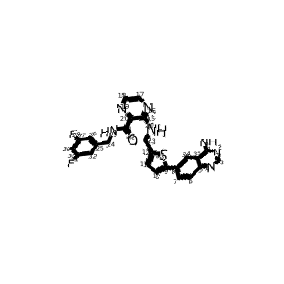 Nc1ncnc2ccc(-c3ccc(CNc4nccnc4C(=O)NCc4cc(F)cc(F)c4)s3)cc12